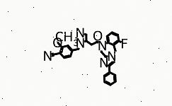 COc1cc(CN2C=NCC2CC(=O)N2Cc3nc(-c4ccccc4)cn3Cc3c(F)cccc32)ccc1C#N